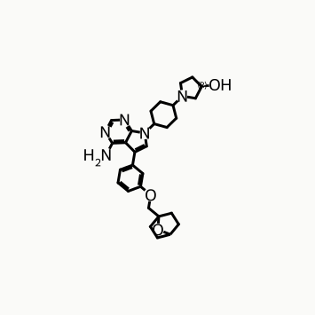 Nc1ncnc2c1c(-c1cccc(OCC34CCC(CC3)O4)c1)cn2C1CCC(N2CC[C@@H](O)C2)CC1